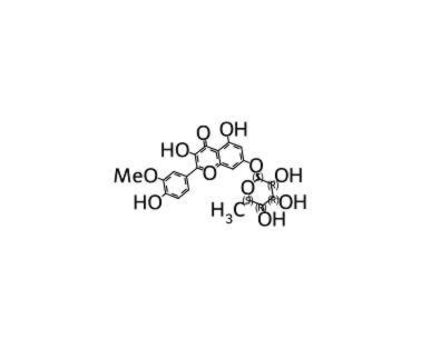 COc1cc(-c2oc3cc(O[C@@H]4O[C@@H](C)[C@H](O)[C@@H](O)[C@H]4O)cc(O)c3c(=O)c2O)ccc1O